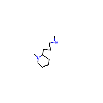 CNCCCC1CCCCN1C